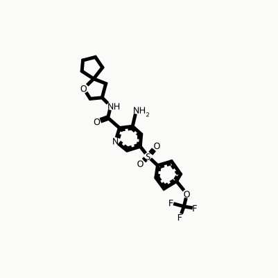 Nc1cc(S(=O)(=O)c2ccc(OC(F)(F)F)cc2)cnc1C(=O)NC1COC2(CCCC2)C1